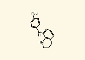 CCCCc1ccc(Nc2cccc3c2NCCC3)cc1